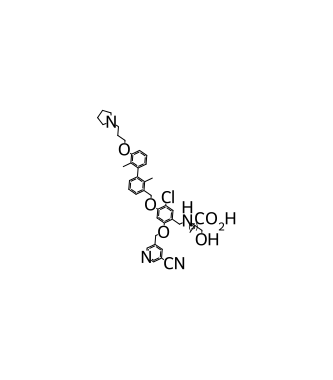 Cc1c(COc2cc(OCc3cncc(C#N)c3)c(CN[C@@](C)(CO)C(=O)O)cc2Cl)cccc1-c1cccc(OCCCN2CCCC2)c1C